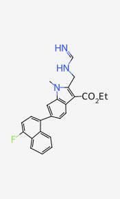 CCOC(=O)c1c(CNC=N)n(C)c2cc(-c3ccc(F)c4ccccc34)ccc12